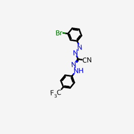 N#CC(/N=N/c1cccc(Br)c1)=N\Nc1ccc(C(F)(F)F)cc1